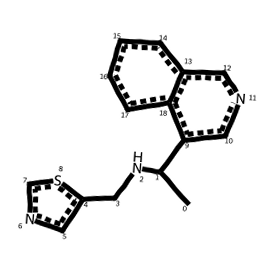 CC(NCc1cncs1)c1cncc2ccccc12